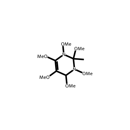 COC1=C(OC)N(OC)C(C)(OC)N(OC)C1OC